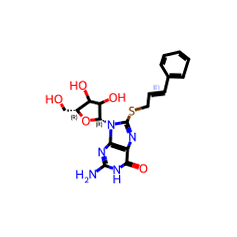 Nc1nc2c(nc(SC/C=C/c3ccccc3)n2[C@@H]2O[C@H](CO)C(O)C2O)c(=O)[nH]1